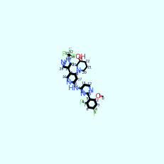 COc1cc(F)cc(F)c1-c1nccc(Nc2cc(N3CCC[C@H](O)C3)c(-c3cnn(C(F)(F)F)c3)cn2)n1